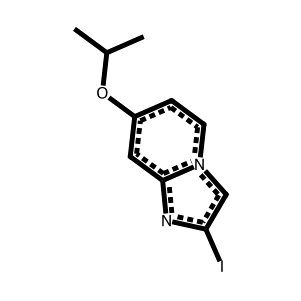 CC(C)Oc1ccn2cc(I)nc2c1